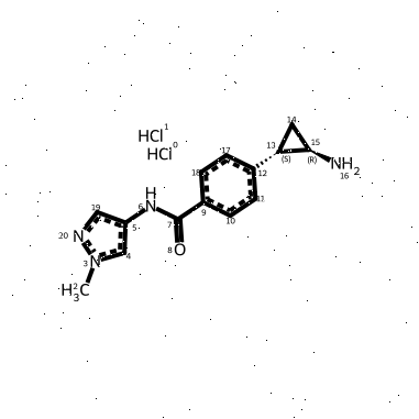 Cl.Cl.Cn1cc(NC(=O)c2ccc([C@@H]3C[C@H]3N)cc2)cn1